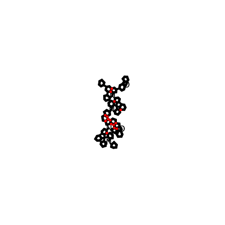 c1ccc(-c2cccc(-c3ccccc3N(c3cccc(-c4ccc5oc6ccccc6c5c4)c3)c3ccc4c(c3)C3(c5ccccc5-4)c4ccccc4N(c4cccc(-c5ccc(N(c6ccc7c(c6)C6(c8ccccc8-7)c7ccccc7N(c7ccccc7)c7ccccc76)c6ccccc6-c6cccc(-c7ccccc7)c6)c(-c6ccc7oc8ccccc8c7c6)c5)c4)c4ccccc43)c2)cc1